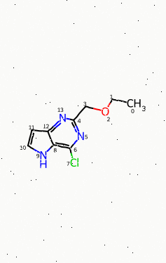 CCOCc1nc(Cl)c2[nH]ccc2n1